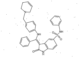 O=C1Nc2ccc(S(=O)(=O)Nc3ccccc3)cc2C1=C(Nc1ccc(CN2CC=CCC2)cc1)c1ccccc1